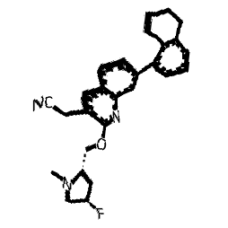 CN1C[C@H](F)C[C@H]1COc1nc2cc(-c3cccc4c3CCCC4)ccc2cc1CC#N